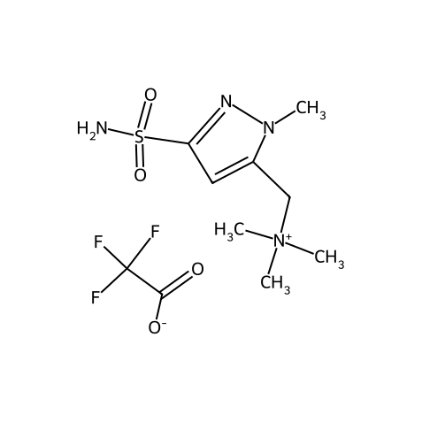 Cn1nc(S(N)(=O)=O)cc1C[N+](C)(C)C.O=C([O-])C(F)(F)F